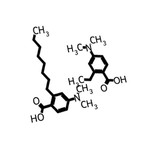 CCCCCCCCc1cc(N(C)C)ccc1C(=O)O.CCc1cc(N(C)C)ccc1C(=O)O